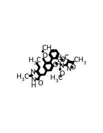 CCCc1nc(C)[nH]c(=O)c1Cc1ccc(-c2ccccc2S(=O)(=O)N(COC)c2noc(C)c2C)c(COCC)c1